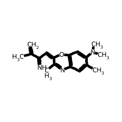 C=C(C)C(=N)/C=C1/Oc2cc(N(C)C)c(C)cc2N=C1C